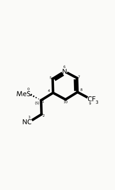 CS[C@@H](CC#N)C1C=NC=C(C(F)(F)F)C1